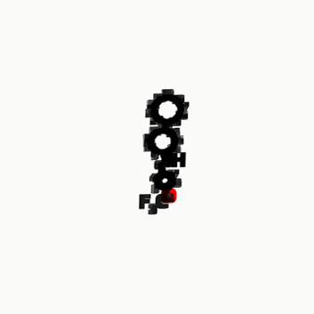 FC(F)(F)Oc1ccc(CBC2CCCCC(C3CCCCCCCCC3)CCC2)cc1